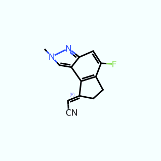 Cn1cc2c3c(c(F)cc2n1)CC/C3=C\C#N